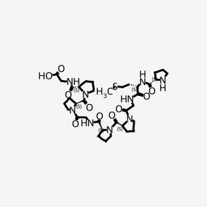 CSCC[C@H](NC(=O)[C@@H]1CCCN1)C(=O)NCC(=O)N1CCC[C@H]1C(=O)N1CCC[C@H]1C(=O)NCC(=O)N1CCC[C@H]1C(=O)N1CCC[C@H]1C(=O)NCC(=O)O